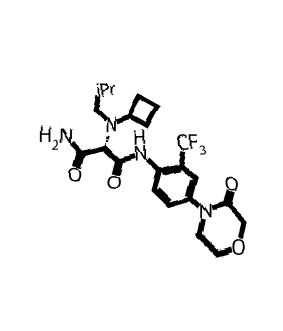 CC(C)CN(C1CCC1)[C@@H](C(N)=O)C(=O)Nc1ccc(N2CCOCC2=O)cc1C(F)(F)F